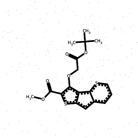 COC(=O)c1sc2cc3cccsc-3c2c1OCC(=O)OC(C)(C)C